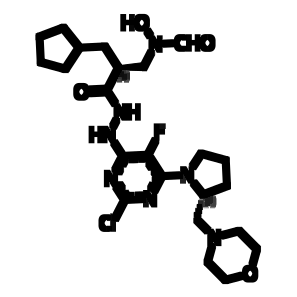 O=CN(O)C[C@H](CC1CCCC1)C(=O)NNc1nc(Cl)nc(N2CCC[C@@H]2CN2CCOCC2)c1F